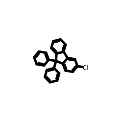 Clc1ccc2c(c1)-c1ccccc1C2(c1ccccc1)c1ccccc1